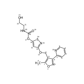 Cc1onc(-c2ccccn2)c1COc1cc(OC(=O)NCCO)sn1